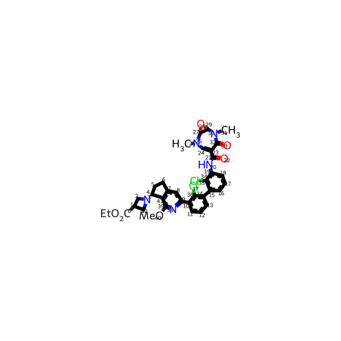 CCOC(=O)C1CN([C@@H]2CCc3cc(-c4cccc(-c5cccc(NC(=O)C6=CN(C)C7OC7N(C)C6=O)c5Cl)c4Cl)nc(OC)c32)C1